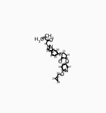 CN(C)C(=O)Cn1nc2ccc(N3CC[C@@H](Oc4ccc(OCC5CC5)nc4)C3=O)cc2n1